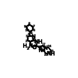 Nc1ccc(-c2ccccc2)nc1NC(=O)c1cn2c(n1)CNCC2